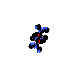 C[Si]1(C)c2ccccc2N(c2cc(-c3cc(-c4ccccn4)nc(-c4cccnc4)n3)ccc2-c2ccc(-c3cc(-c4cccnc4)nc(-c4ccccn4)n3)cc2N2c3ccccc3[Si](C)(C)c3ccccc32)c2ccccc21